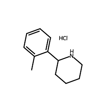 Cc1ccccc1C1CCCCN1.Cl